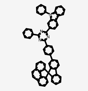 c1ccc(-c2nc(-c3ccc(-c4ccc5c(c4)C4(c6ccccc6-5)c5cccc6ccc7cccc4c7c56)cc3)nc(-c3ccc4c5ccccc5n(-c5ccccc5)c4c3)n2)cc1